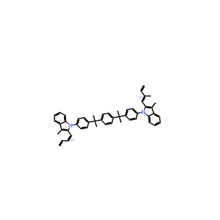 C=C/C=C\c1c(C)c2ccccc2n1-c1ccc(C(C)(C)c2ccc(C(C)(C)c3ccc(-n4c(/C=C(\C)C=C)c(C)c5ccccc54)cc3)cc2)cc1